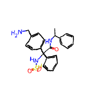 CC(NC(=O)C(N[SH](=O)=O)(c1ccccc1)c1ccc(CN)cc1)c1ccccc1